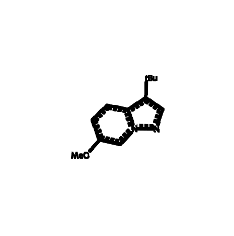 COc1ccc2c(C(C)(C)C)cnn2c1